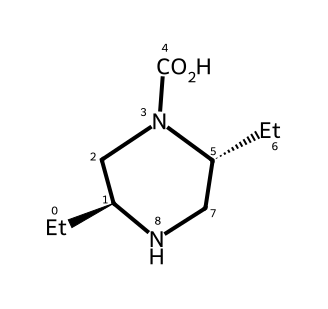 CC[C@H]1CN(C(=O)O)[C@H](CC)CN1